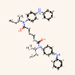 CC(C)CC(C)N(C(=O)CCCCC(=O)N(c1ccc(Nc2ccccc2)cc1)C(C)CC(C)C)c1ccc(Nc2ccccc2)cc1